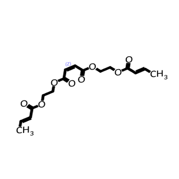 CC=CC(=O)OCCOC(=O)/C=C\C(=O)OCCOC(=O)C=CC